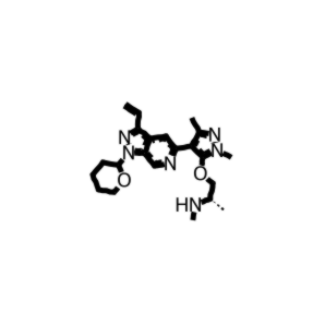 C=Cc1nn(C2CCCCO2)c2cnc(-c3c(C)nn(C)c3OC[C@H](C)NC)cc12